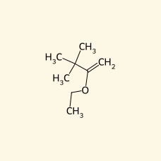 C=C(OCC)C(C)(C)C